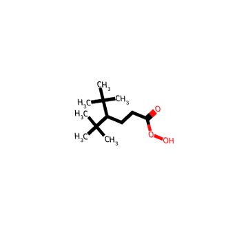 CC(C)(C)C(CCC(=O)OO)C(C)(C)C